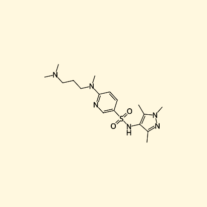 Cc1nn(C)c(C)c1NS(=O)(=O)c1ccc(N(C)CCCN(C)C)nc1